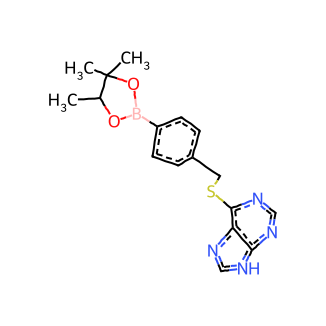 CC1OB(c2ccc(CSc3ncnc4[nH]cnc34)cc2)OC1(C)C